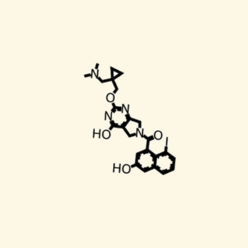 CN(C)CC1(COc2nc(O)c3c(n2)CN(C(=O)c2cc(O)cc4cccc(I)c24)C3)CC1